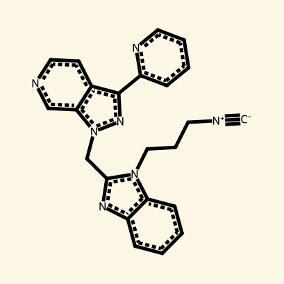 [C-]#[N+]CCCn1c(Cn2nc(-c3ccccn3)c3ccncc32)nc2ccccc21